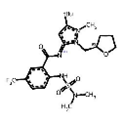 CN(C)S(=O)(=O)Nc1ccc(C(F)(F)F)cc1C(=O)/N=c1\cc(C(C)(C)C)n(C)n1C[C@H]1CCCO1